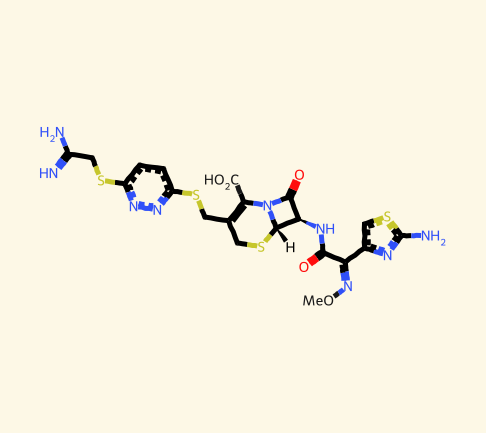 CO/N=C(\C(=O)N[C@@H]1C(=O)N2C(C(=O)O)=C(CSc3ccc(SCC(=N)N)nn3)CS[C@@H]12)c1csc(N)n1